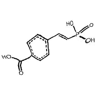 O=C(O)c1ccc(C=CP(=O)(O)O)cc1